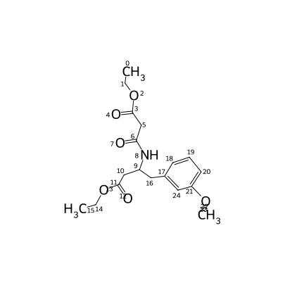 CCOC(=O)CC(=O)NC(CC(=O)OCC)Cc1cccc(OC)c1